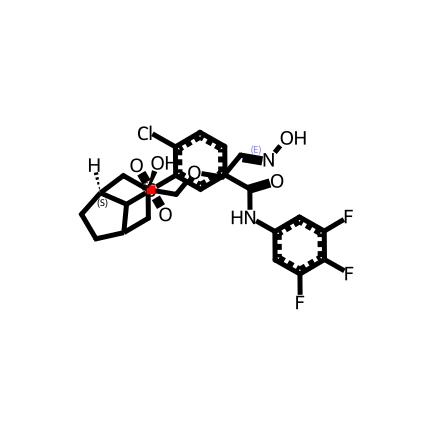 O=C(Nc1cc(F)c(F)c(F)c1)c1ccc(Cl)c(S(=O)(=O)C2C3CC[C@H]2C[C@](O)(COC/C=N/O)C3)c1